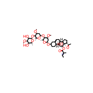 C/C=C(\C)C(=O)O[C@@H]1C[C@H]2[C@@H](CC=C3C[C@@H](O[C@H]4C[C@H](OC)[C@H](O[C@H]5C[C@H](OC)[C@H](O[C@@H]6O[C@H](C)[C@@H](O)[C@H](OC)[C@H]6O)[C@@H](C)O5)[C@@H](C)O4)CC[C@@]32C)[C@@]2(O)CC[C@H](C(C)=O)[C@@]12C